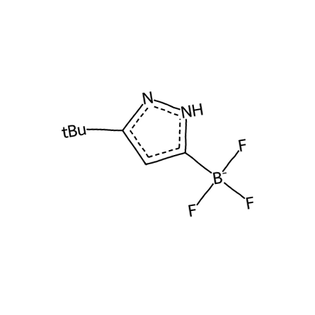 CC(C)(C)c1cc([B-](F)(F)F)[nH]n1